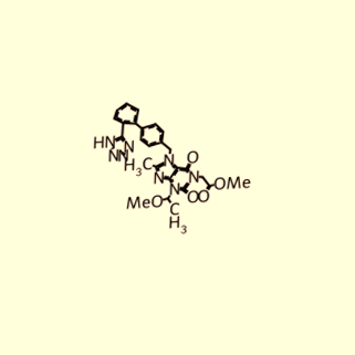 COC(=O)Cn1c(=O)c2c(nc(C)n2Cc2ccc(-c3ccccc3-c3nnn[nH]3)cc2)n(C(C)OC)c1=O